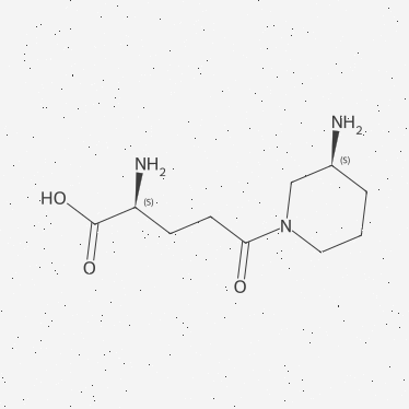 N[C@H]1CCCN(C(=O)CC[C@H](N)C(=O)O)C1